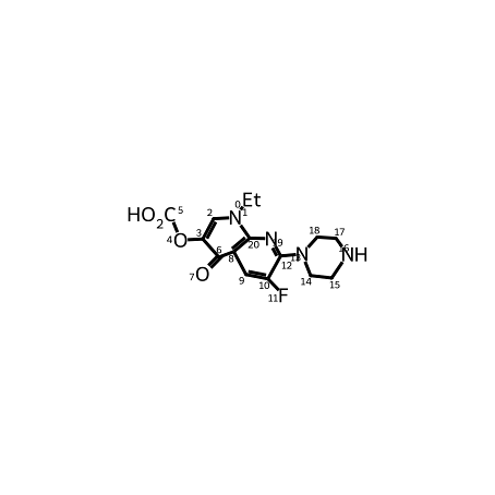 CCn1cc(OC(=O)O)c(=O)c2cc(F)c(N3CCNCC3)nc21